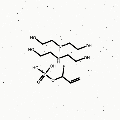 C=CC(F)OP(=O)(O)O.OCCNCCO.OCCNCCO